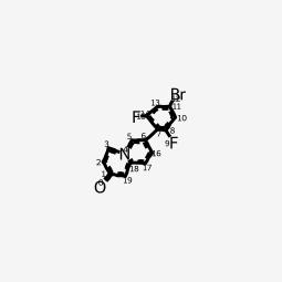 O=c1ccn2cc(-c3c(F)cc(Br)cc3F)ccc2c1